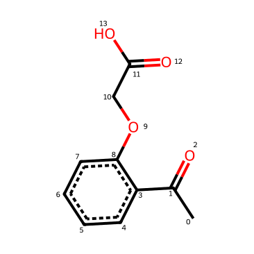 CC(=O)c1ccccc1OCC(=O)O